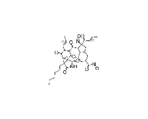 C/C=C/C(=O)C1(N=O)CC2CC(C(=O)N=O)CC(C)C2C1C(=O)C1=C(/C=C/C)C(=O)C2(C)C3(CCCCCC)C(=O)NC(=O)C23C1=O